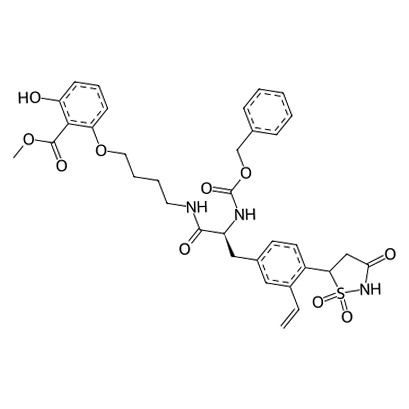 C=Cc1cc(C[C@H](NC(=O)OCc2ccccc2)C(=O)NCCCCOc2cccc(O)c2C(=O)OC)ccc1C1CC(=O)NS1(=O)=O